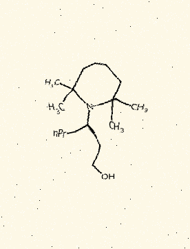 CCCC(CCO)N1C(C)(C)CCCC1(C)C